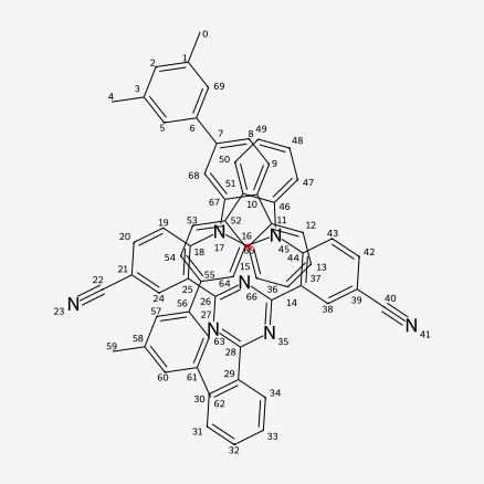 Cc1cc(C)cc(-c2ccc3c4ccccc4n(-c4ccc(C#N)cc4-c4nc(-c5ccccc5)nc(-c5cc(C#N)ccc5-n5c6ccccc6c6ccc(-c7cc(C)cc(C)c7)cc65)n4)c3c2)c1